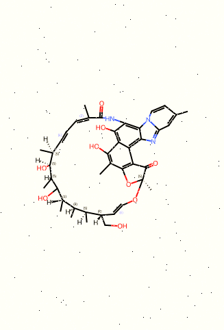 C/C1=C/C=C/[C@H](C)[C@H](O)[C@@H](C)C(O)[C@@H](C)[C@H](C)[C@H](C)[C@@H](CO)/C=C/O[C@@]2(C)Oc3c(C)c(O)c4c(O)c(c5c(nc6cc(C)ccn65)c4c3C2=O)NC1=O